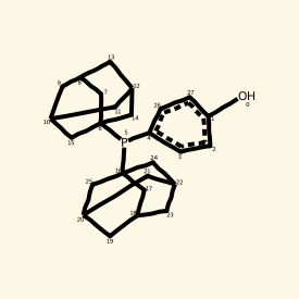 Oc1ccc(P(C23CC4CC(CC(C4)C2)C3)C23CC4CC(CC(C4)C2)C3)cc1